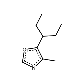 CCC(CC)c1ocnc1C